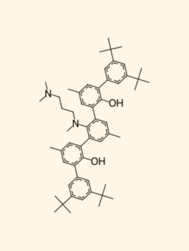 Cc1cc(-c2cc(C(C)(C)C)cc(C(C)(C)C)c2)c(O)c(-c2cc(C)cc(-c3cc(C)cc(-c4cc(C(C)(C)C)cc(C(C)(C)C)c4)c3O)c2N(C)CCCN(C)C)c1